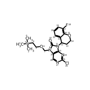 C[Si](C)(C)CCOCn1c(=O)n(C2CCOc3c(F)cccc32)c2nc(Cl)ncc21